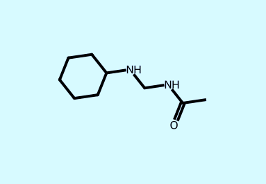 CC(=O)NCNC1CCCCC1